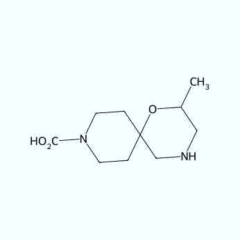 CC1CNCC2(CCN(C(=O)O)CC2)O1